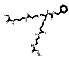 CC(C)(C)OC(=O)NCCCNC(=O)CCOCC(COCCC(=O)NCCCNC(=O)OC(C)(C)C)NC(=O)OCc1ccccc1